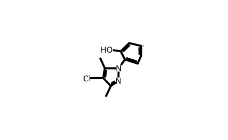 Cc1nn(-c2cc[c]cc2O)c(C)c1Cl